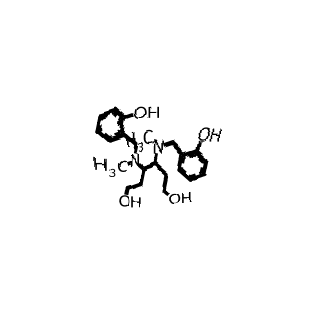 CN(Cc1ccccc1O)C(CCO)C(CCO)N(C)Cc1ccccc1O